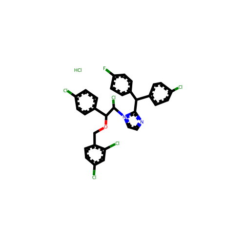 Cl.Fc1ccc(C(c2ccc(Cl)cc2)c2nccn2C(Cl)C(OCc2ccc(Cl)cc2Cl)c2ccc(Cl)cc2)cc1